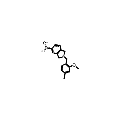 COc1cc(C)ccc1CN1Cc2ccc([N+](=O)[O-])cc2C1